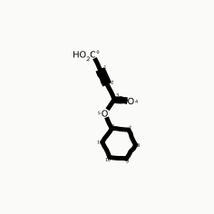 O=C(O)C#CC(=O)OC1CCCCC1